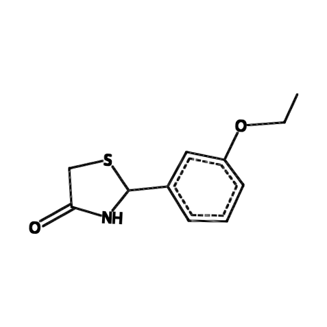 CCOc1cccc(C2NC(=O)CS2)c1